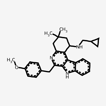 COc1ccc(Cc2nc3c(c4c2[nH]c2ccccc24)C(NCC2CC2)CC(C)(C)C3)cc1